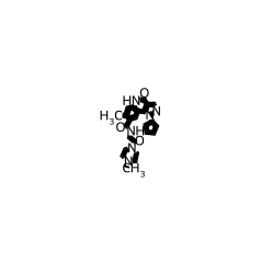 Cc1cc2[nH]c(=O)c3cnn(C4CCCC4)c3c2cc1C(=O)NCC(=O)N1CCN(C)CC1